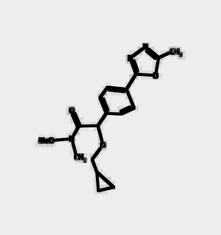 CON(C)C(=O)C(OCC1CC1)c1ccc(-c2nnc(C)o2)cc1